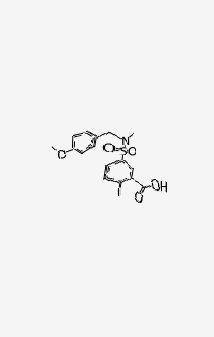 COc1ccc(CN(C)S(=O)(=O)c2ccc(I)c(C(=O)O)c2)cc1